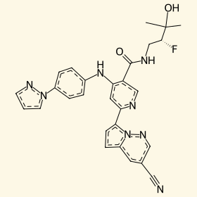 CC(C)(O)[C@H](F)CNC(=O)c1cnc(-c2ccc3cc(C#N)cnn23)cc1Nc1ccc(-n2cccn2)cc1